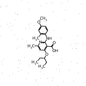 CCC(CC)Oc1cc(C)nc(Nc2ccc(OC)cc2C)c1C(=O)O